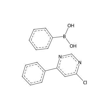 Clc1cc(-c2ccccc2)ncn1.OB(O)c1ccccc1